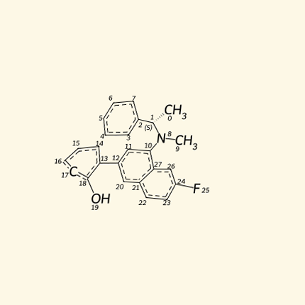 C[C@@H](c1ccccc1)N(C)c1cc(-c2ccccc2O)cc2ccc(F)cc12